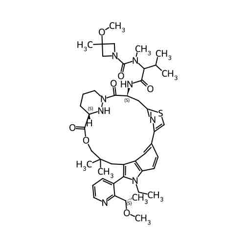 CCn1c(-c2cccnc2[C@H](C)OC)c2c3cc(ccc31)-c1csc(n1)C[C@H](NC(=O)C(C(C)C)N(C)C(=O)N1CC(C)(OC)C1)C(=O)N1CCC[C@H](N1)C(=O)OCC(C)(C)C2